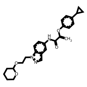 C=C(Oc1ccc(C2CC2)cc1)C(=O)Nc1ccc2c(cnn2CCOC2CCCCO2)c1